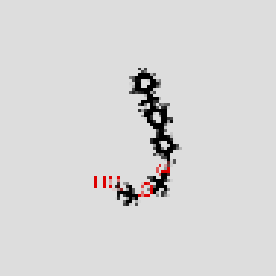 CC(C)(CO)COCC(C)(C)COCc1ccc(-c2ccc(C(C)(C)c3ccccc3)cc2)cc1